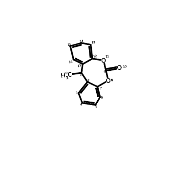 CC1c2ccccc2OC(=O)Oc2ccccc21